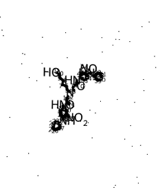 O=C(CCN(CCCCCCO)CCC(=O)Nc1ccc(Nc2ccccc2)c([N+](=O)[O-])c1)Nc1ccc(Nc2ccccc2)c([N+](=O)[O-])c1